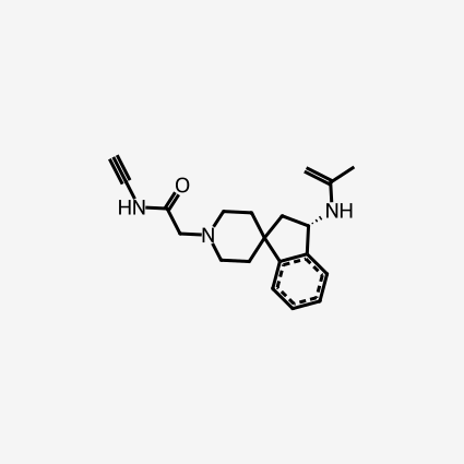 C#CNC(=O)CN1CCC2(CC1)C[C@H](NC(=C)C)c1ccccc12